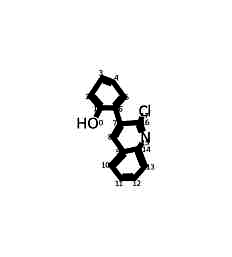 Oc1ccccc1-c1cc2ccccc2nc1Cl